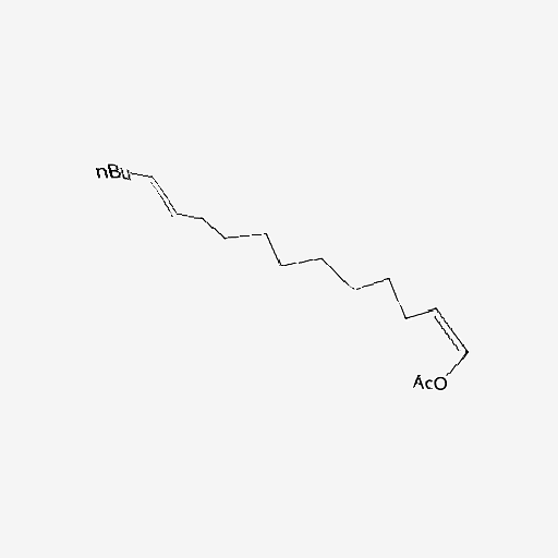 CCCCC=CCCCCCCCC/C=C\OC(C)=O